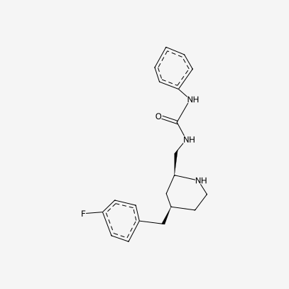 O=C(NC[C@@H]1C[C@H](Cc2ccc(F)cc2)CCN1)Nc1ccccc1